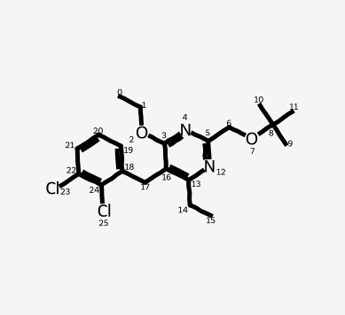 CCOc1nc(COC(C)(C)C)nc(CC)c1Cc1cccc(Cl)c1Cl